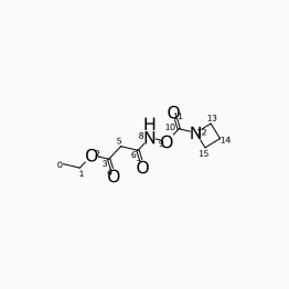 CCOC(=O)CC(=O)NOC(=O)N1CCC1